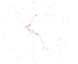 CCCCCCCCCCOc1ccc(-c2ccc(C(=O)Oc3ccccc3C(=O)OCCCCCCCCC)cc2)cc1